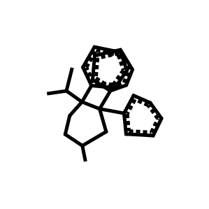 CC1CCC(c2ccccc2)(C(C)C)C(c2ccccc2)(c2ccccc2)C1